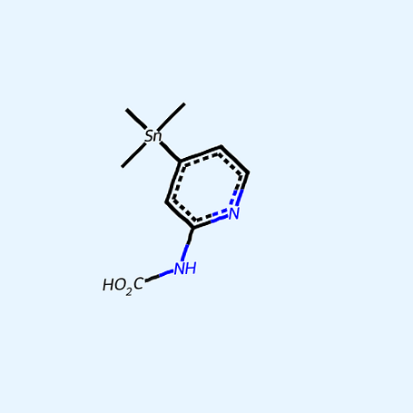 [CH3][Sn]([CH3])([CH3])[c]1ccnc(NC(=O)O)c1